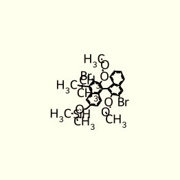 COCOc1c(Br)cc2ccccc2c1-c1c(OCOC)c(Br)c(C(C)(C)C)c2cc(CO[SiH](C)C)ccc12